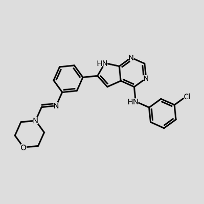 Clc1cccc(Nc2ncnc3[nH]c(-c4cccc(/N=C/N5CCOCC5)c4)cc23)c1